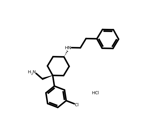 Cl.NC[C@]1(c2cccc(Cl)c2)CC[C@@H](NCCc2ccccc2)CC1